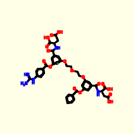 N=C(N)Nc1ccc(C(=O)Oc2cc(OCCOCCOc3cc(OC(=O)c4ccccc4)cc(C(=O)N[C@H](CC(=O)O)C(=O)O)c3)cc(C(=O)N[C@H](CC(=O)O)C(=O)O)c2)cc1